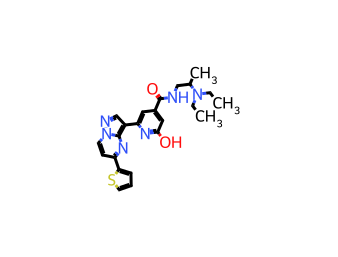 CCN(CC)C(C)CNC(=O)c1cc(O)nc(-c2cnn3ccc(-c4cccs4)nc23)c1